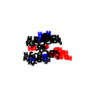 CC1(C)CC(CC(C)(CO)C(OC2CC(C)(C)NC(C)(C)C2)(C2CC(C)(C)NC(C)(C)C2)C2CC(C)(C)NC(C)(C)C2)CC(C)(C)N1.OP(O)O.OP(O)O